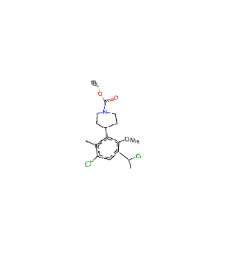 COc1c(C(C)Cl)cc(Cl)c(C)c1C1CCN(C(=O)OC(C)(C)C)CC1